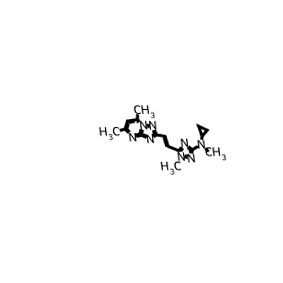 Cc1cc(C)n2nc(/C=C/c3nc(N(C)C4CC4)nn3C)nc2n1